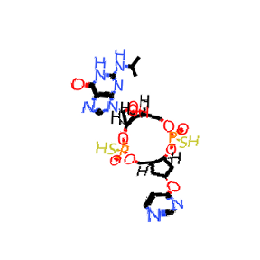 CC(C)Nc1nc2c(ncn2[C@@H]2O[C@@H]3CO[P@@](=O)(S)O[C@H]4C[C@H](Oc5ccncn5)C[C@@H]4CO[P@@](=O)(S)O[C@@H]2[C@@H]3O)c(=O)[nH]1